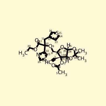 C#C[C@@]1(OC(C)=O)[C@@H](COC(Cc2ccsc2)(C(=O)OCC)c2cscn2)O[C@@H]2OC(C)(C)O[C@@H]21